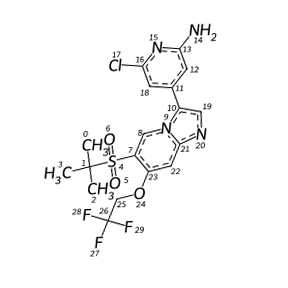 CC(C)(C)S(=O)(=O)c1cn2c(-c3cc(N)nc(Cl)c3)cnc2cc1OCC(F)(F)F